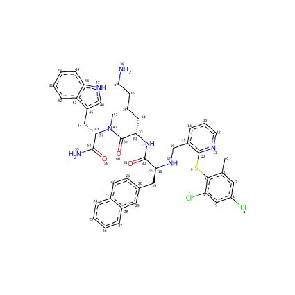 Cc1cc(Cl)cc(Cl)c1Sc1ncccc1CN[C@@H](Cc1ccc2ccccc2c1)C(=O)N[C@@H](CCCCN)C(=O)N(C)[C@@H](Cc1c[nH]c2ccccc12)C(N)=O